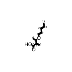 C=C(C(=O)O)C(C)OC=CC=CC